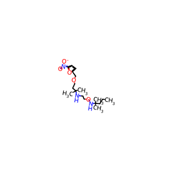 CCCC(C)(C)NOCCNC(C)(C)CCOCc1ccc([N+](=O)[O-])o1